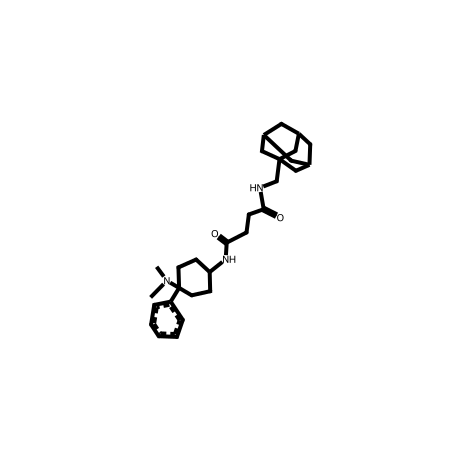 CN(C)C1(c2ccccc2)CCC(NC(=O)CCC(=O)NCC23CC4CC(CC(C4)C2)C3)CC1